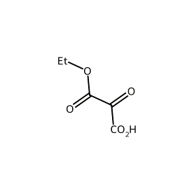 CCOC(=O)C(=O)C(=O)O